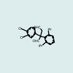 CC(C)c1cccc(C(C)C)c1C(C=O)(CC=O)c1ccc(Cl)c(Cl)c1